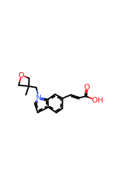 CC1(Cn2ccc3ccc(C=CC(=O)O)cc32)COC1